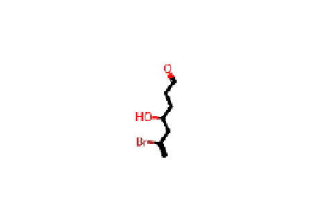 C=C(Br)C[C@@H](O)CCC=O